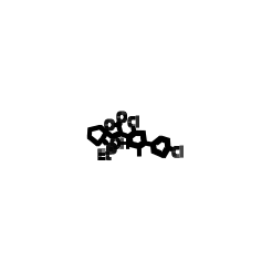 CCOC1CCCCC12OC(=O)C(c1cc(C)c(-c3ccc(Cl)cc3)cc1Cl)=C2O